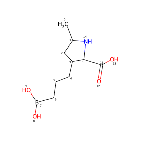 CC1CC(CCCB(O)O)C(C(=O)O)N1